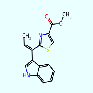 CC=C(c1nc(C(=O)OC)cs1)c1c[nH]c2ccccc12